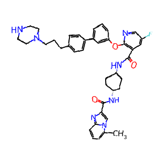 Cc1cccc2nc(C(=O)N[C@H]3CC[C@@H](NC(=O)c4cc(F)cnc4Oc4cccc(-c5ccc(CCCN6CCNCC6)cc5)c4)CC3)cn12